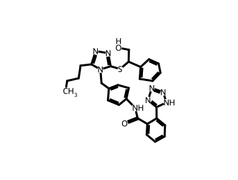 CCCCc1nnc(SC(CO)c2ccccc2)n1Cc1ccc(NC(=O)c2ccccc2-c2nnn[nH]2)cc1